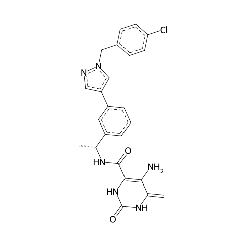 C=C1NC(=O)NC(C(=O)N[C@H](C)c2cccc(-c3cnn(Cc4ccc(Cl)cc4)c3)c2)=C1N